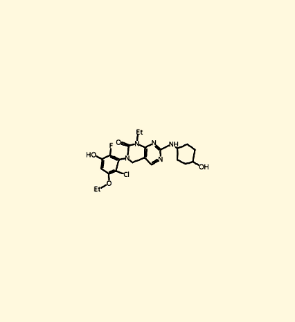 CCOc1cc(O)c(F)c(N2Cc3cnc(NC4CCC(O)CC4)nc3N(CC)C2=O)c1Cl